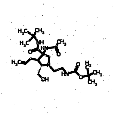 C=CCC1[C@@H](CO)N(CCNC(=O)OC(C)(C)C)CC1(NC(C)=O)C(=O)NC(C)(C)C